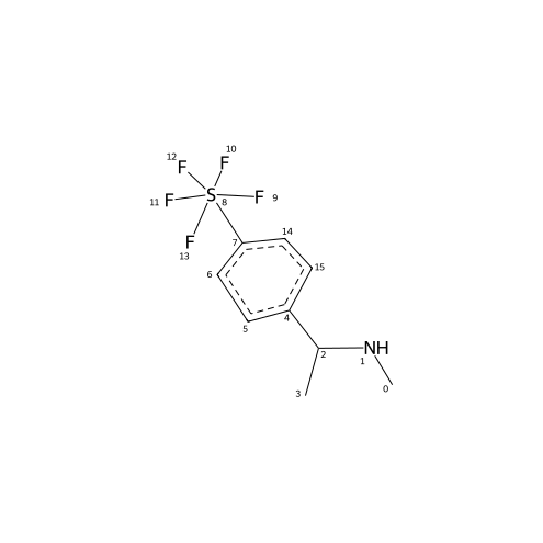 CNC(C)c1ccc(S(F)(F)(F)(F)F)cc1